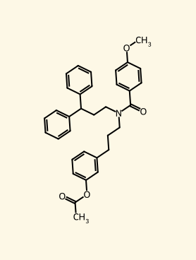 COc1ccc(C(=O)N(CCCc2cccc(OC(C)=O)c2)CCC(c2ccccc2)c2ccccc2)cc1